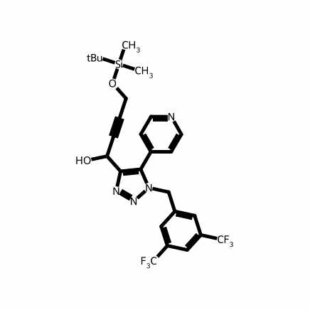 CC(C)(C)[Si](C)(C)OCC#CC(O)c1nnn(Cc2cc(C(F)(F)F)cc(C(F)(F)F)c2)c1-c1ccncc1